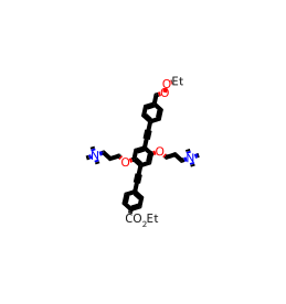 CCOOCc1ccc(C#Cc2cc(OCCC[N+](C)(C)C)c(C#Cc3ccc(C(=O)OCC)cc3)cc2OCCC[N+](C)(C)C)cc1